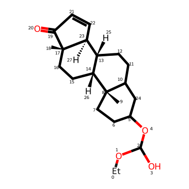 CCOC(O)OC1CC[C@@]2(C)C(CC[C@@H]3[C@H]2CC[C@]2(C)C(=O)C=C[C@@H]32)C1